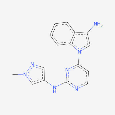 Cn1cc(Nc2nccc(-n3cc(N)c4ccccc43)n2)cn1